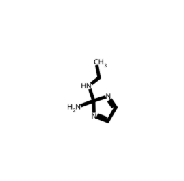 CCNC1(N)N=CC=N1